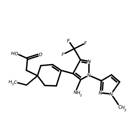 CCC1(CC(=O)O)CC=C(c2c(C(F)(F)F)nn(-c3ccn(C)n3)c2N)CC1